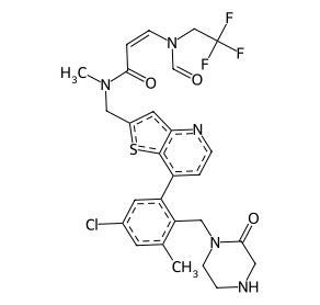 Cc1cc(Cl)cc(-c2ccnc3cc(CN(C)C(=O)/C=C\N(C=O)CC(F)(F)F)sc23)c1CN1CCNCC1=O